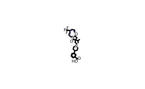 CC(C)C1(CCN2CCC(c3cccc(C(=O)O)c3)CC2)CC2O/C=C/C=C(C(F)(F)F)\C=C\CN2C1=O